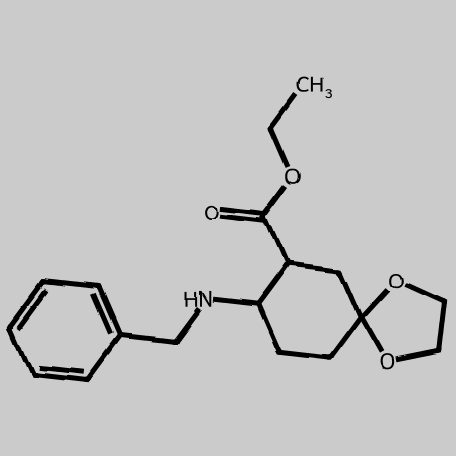 CCOC(=O)C1CC2(CCC1NCc1ccccc1)OCCO2